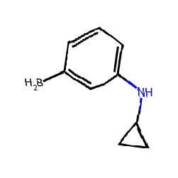 Bc1cccc(NC2CC2)c1